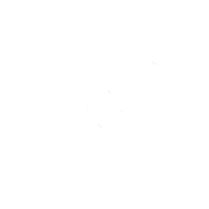 O=[N+]([O-])c1cccc(S(=O)(=O)Nc2nc3ccccc3nc2Nc2cc(OC(F)F)ccc2Cl)c1